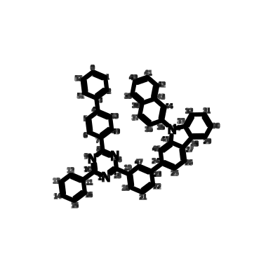 c1ccc(-c2ccc(-c3nc(-c4ccccc4)nc(-c4cccc(-c5ccc6c7ccccc7n(-c7ccc8ccccc8c7)c6c5)c4)n3)cc2)cc1